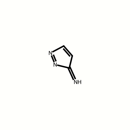 N=C1C=CN=N1